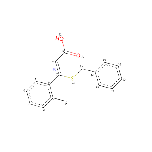 Cc1ccccc1/C(=C/C(=O)O)SCc1ccccc1